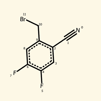 N#Cc1cc(F)c(F)cc1CBr